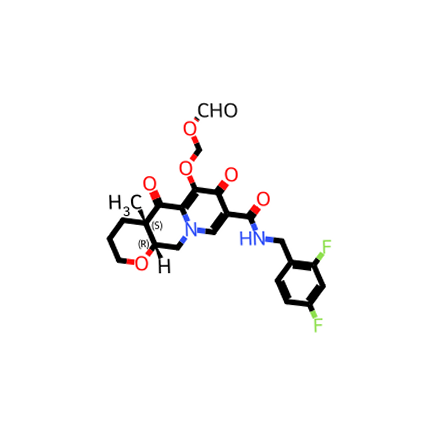 C[C@]12CCCO[C@H]1Cn1cc(C(=O)NCc3ccc(F)cc3F)c(=O)c(OCOC=O)c1C2=O